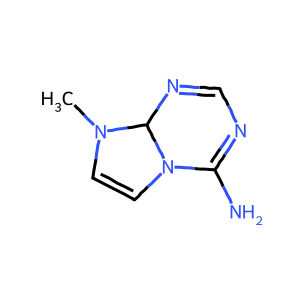 CN1C=CN2C(N)=NC=NC12